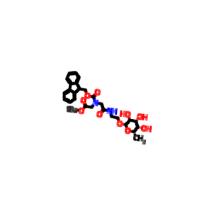 C[C@@H]1O[C@@H](OCCNC(=O)CN(CC(=O)OC(C)(C)C)C(=O)OCC2c3ccccc3-c3ccccc32)[C@@H](O)[C@H](O)[C@@H]1O